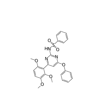 COc1ccc(OC)c(-c2cc(Oc3ccccc3)nc(NS(=O)(=O)c3ccccc3)n2)c1OC